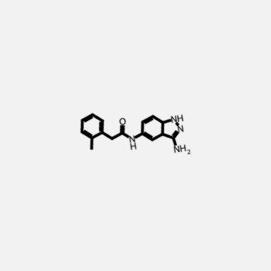 Cc1ccccc1CC(=O)NC1=CC2C(N)=NNC2C=C1